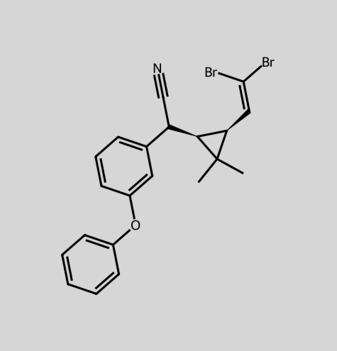 CC1(C)[C@H](C=C(Br)Br)[C@@H]1C(C#N)c1cccc(Oc2ccccc2)c1